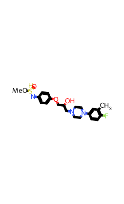 CO[SH](=O)=Nc1ccc(OCC(O)CN2CCN(c3ccc(F)c(C)c3)CC2)cc1